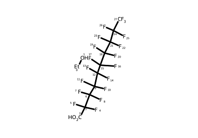 CCO.O=C(O)C(F)(F)C(F)(F)C(F)(F)C(F)(F)C(F)(F)C(F)(F)C(F)(F)C(F)(F)C(F)(F)F